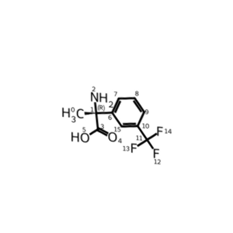 C[C@](N)(C(=O)O)c1cccc(C(F)(F)F)c1